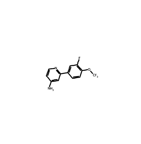 Nc1ccnc(-c2ccc(OC(F)(F)F)c(F)c2)c1